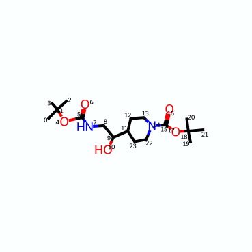 CC(C)(C)OC(=O)NCC(O)C1CCN(C(=O)OC(C)(C)C)CC1